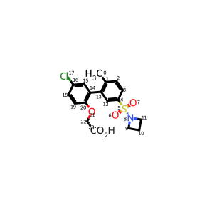 Cc1ccc(S(=O)(=O)N2CCC2)cc1-c1cc(Cl)ccc1OCC(=O)O